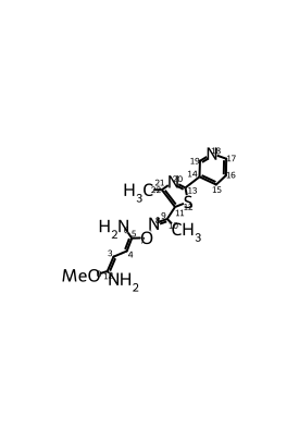 CO/C(N)=C/C=C(\N)O/N=C(\C)c1sc(-c2cccnc2)nc1C